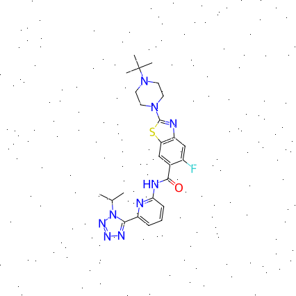 CC(C)n1nnnc1-c1cccc(NC(=O)c2cc3sc(N4CCN(C(C)(C)C)CC4)nc3cc2F)n1